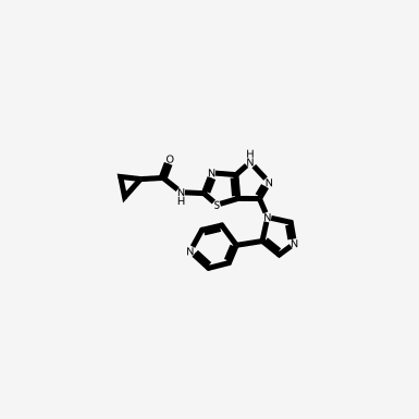 O=C(Nc1nc2[nH]nc(-n3cncc3-c3ccncc3)c2s1)C1CC1